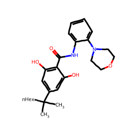 CCCCCCC(C)(C)c1cc(O)c(C(=O)Nc2ccccc2N2CCOCC2)c(O)c1